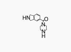 O=C(c1ccc2c(c1)CNC2)N1CCNCC1